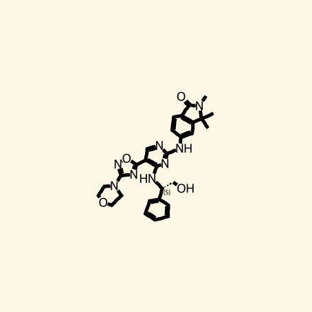 CN1C(=O)c2ccc(Nc3ncc(-c4nc(N5CCOCC5)no4)c(N[C@H](CO)c4ccccc4)n3)cc2C1(C)C